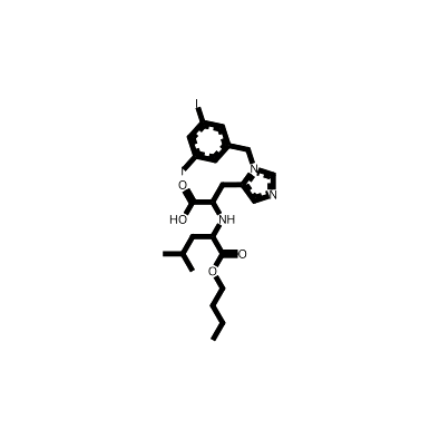 CCCCOC(=O)C(CC(C)C)NC(Cc1cncn1Cc1cc(I)cc(I)c1)C(=O)O